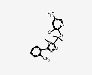 Cn1c(-c2ccccc2C(F)(F)F)nnc1C(C)(C)Oc1ncc(C(F)(F)F)cc1Cl